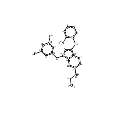 O=[N+]([O-])c1ccccc1Sc1cn(Cc2cc(F)cc(F)c2)c2cc(NCC(F)(F)F)ccc12